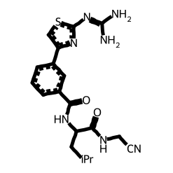 CC(C)CC(NC(=O)c1cccc(-c2csc(N=C(N)N)n2)c1)C(=O)NCC#N